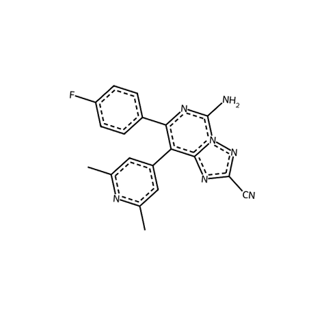 Cc1cc(-c2c(-c3ccc(F)cc3)nc(N)n3nc(C#N)nc23)cc(C)n1